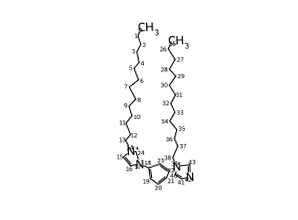 CCCCCCCCCCCCCC[n+]1ccn(-c2ccccc2)c1.CCCCCCCCCCCCCCn1ccnc1